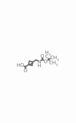 CC(C)(C)OC(=O)NCC12CC(C(=O)O)(C1)C2